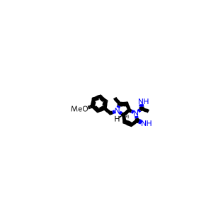 COc1cccc(CN2C(C)=CC3[C@H]2C=CC(=N)N3C(C)=N)c1